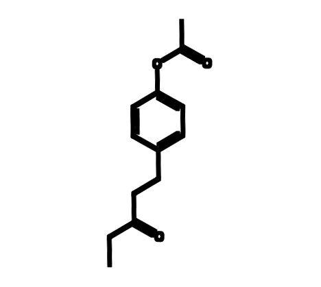 CCC(=O)CCc1ccc(OC(C)=O)cc1